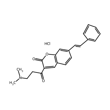 CN(C)CCC(=O)c1cc2ccc(C=Cc3ccccc3)cc2oc1=O.Cl